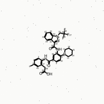 Cc1ccc(NC(=O)c2ccc(N3CCCCC3)c(NC(=O)c3nn(CC(F)(F)F)c4ccccc34)c2)c(CC(=O)O)c1